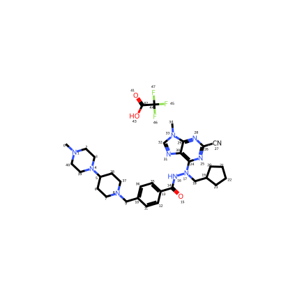 CN1CCN(C2CCN(Cc3ccc(C(=O)NN(CC4CCCC4)c4nc(C#N)nc5c4ncn5C)cc3)CC2)CC1.O=C(O)C(F)(F)F